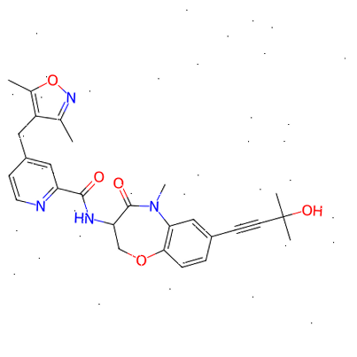 Cc1noc(C)c1Cc1ccnc(C(=O)NC2COc3ccc(C#CC(C)(C)O)cc3N(C)C2=O)c1